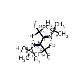 C[Si](C)(C)/N=C(/C(=N/[Si](C)(C)C)C(F)(F)F)C(F)(F)F